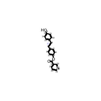 O=C(Oc1ccc(/C=C/c2ccc(O)cc2)cc1)c1cccnc1